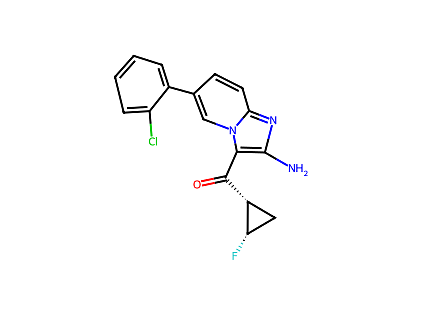 Nc1nc2ccc(-c3ccccc3Cl)cn2c1C(=O)[C@@H]1C[C@@H]1F